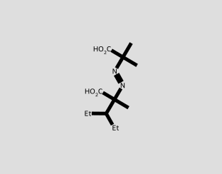 CCC(CC)C(C)(N=NC(C)(C)C(=O)O)C(=O)O